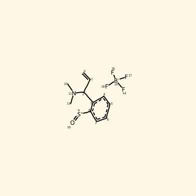 C=CC(c1ccccc1[S+]=O)N(C)C.F[B-](F)(F)F